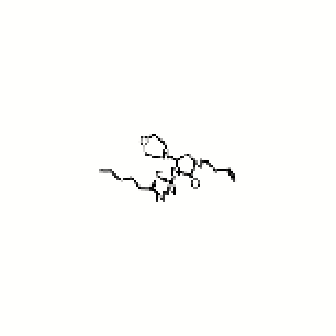 C=CCCN1CC(N2CCOCC2)N(c2nnc(CCCCC)s2)C1=O